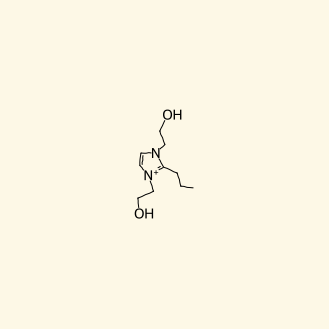 CCCc1n(CCO)cc[n+]1CCO